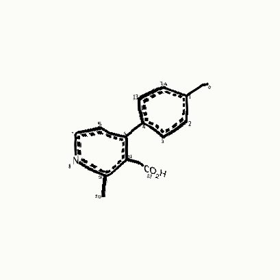 Cc1ccc(-c2ccnc(C)c2C(=O)O)cc1